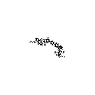 CCCN(Cc1ncc(-c2ccc(-c3ccc(-c4cccc(NC(=O)[C@@H]5CCCN5C(=O)[C@@H](NC(=O)OC)C(C)C)c4)cc3)cc2)[nH]1)C(=O)[C@@H](NC(=O)OC)C(C)C